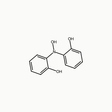 Oc1ccccc1N(O)c1ccccc1O